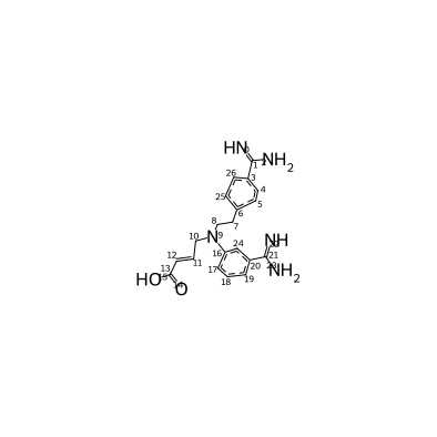 N=C(N)c1ccc(CCN(CC=CC(=O)O)c2cccc(C(=N)N)c2)cc1